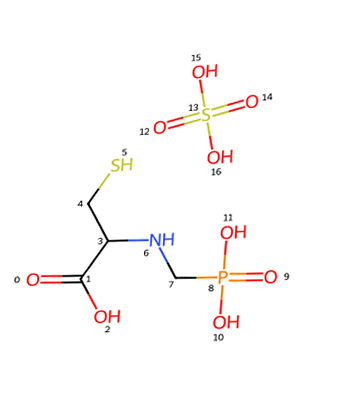 O=C(O)C(CS)NCP(=O)(O)O.O=S(=O)(O)O